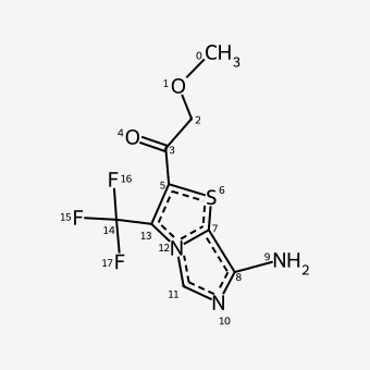 COCC(=O)c1sc2c(N)ncn2c1C(F)(F)F